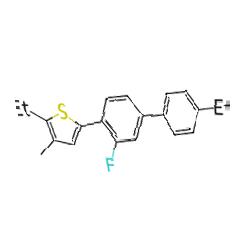 CCc1ccc(-c2ccc(-c3cc(C)c(CC)s3)c(F)c2)cc1